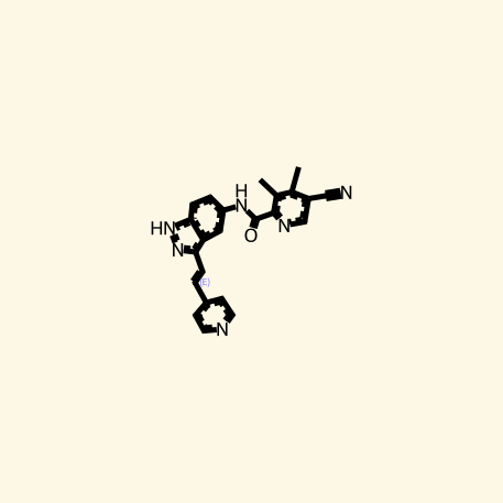 Cc1c(C#N)cnc(C(=O)Nc2ccc3[nH]nc(/C=C/c4ccncc4)c3c2)c1C